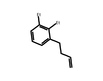 C=CCCc1cccc(CC)c1CC